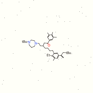 C=C(CC(C)(C)C)c1cc(C)c(CC)c(CCCCC(CCN2CCCN(C(C)(C)C)CC2)CC(=O)c2cc(C)c(C)c(C)c2)c1